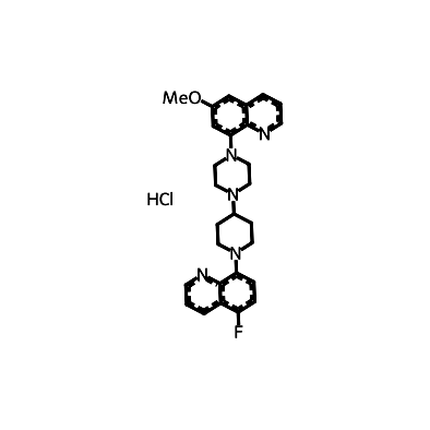 COc1cc(N2CCN(C3CCN(c4ccc(F)c5cccnc45)CC3)CC2)c2ncccc2c1.Cl